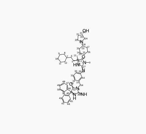 CN1C(=O)[C@@](CCC2CCCCC2)(C[C@H]2CCC[C@H](N3CC[C@H](O)C3)C2)NC1=Nc1cccc(CN2C(=N)NC(c3ccccc3)(c3ccccc3)C2=O)c1